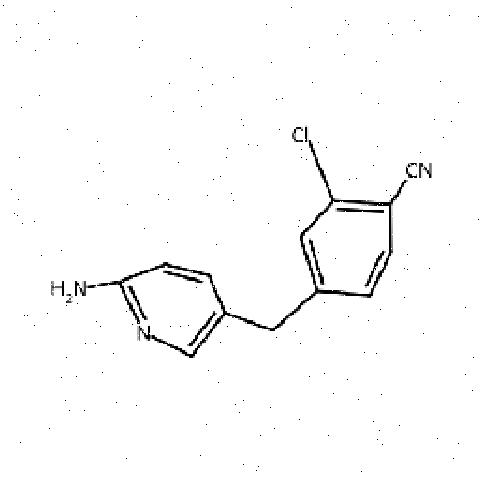 N#Cc1ccc(Cc2ccc(N)nc2)cc1Cl